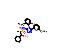 COC1=NC(c2nnc(NS(=O)(=O)[C@H](C)[C@@H](O)C3CCCCC3)n2-c2c(O)cccc2OC)=C=C=C1